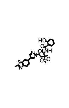 Cc1nc2ccc(-c3cnn(C(O)CC(C)(CNC(=O)c4ccccc4O)S(C)(=O)=O)c3)cc2s1